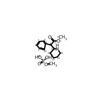 COC(=O)C(c1ccccc1)C1CCCCN1.COP(=O)(O)O